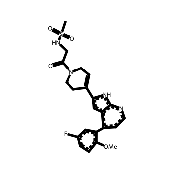 COc1ccc(F)cc1-c1ccnc2[nH]c(C3=CCN(C(=O)CNS(C)(=O)=O)CC3)cc12